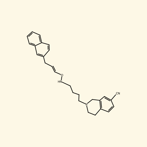 N#Cc1ccc2c(c1)CN(CCCCNOC=CCc1ccc3ccccc3c1)CC2